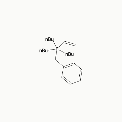 C=CP(CCCC)(CCCC)(CCCC)Cc1ccccc1